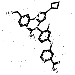 NCc1cccc(-n2nc(C3CCC3)cc2N(C(N)=O)c2ccc(Oc3ccnc(C(N)=O)c3)cc2F)c1